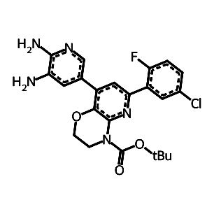 CC(C)(C)OC(=O)N1CCOc2c(-c3cnc(N)c(N)c3)cc(-c3cc(Cl)ccc3F)nc21